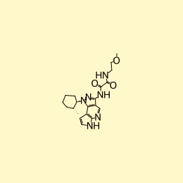 COCCNC(=O)C(=O)Nc1nn([C@@H]2CCCC[C@H]2C)c2c1cnc1[nH]ccc12